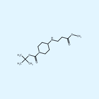 COC(=O)CCNC1CCN(C(=O)OC(C)(C)C)CC1